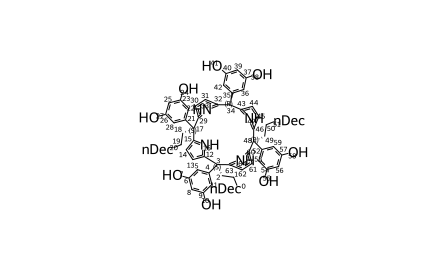 CCCCCCCCCCCC[C@]1(c2cc(O)cc(O)c2)c2ccc([nH]2)[C@@](CCCCCCCCCCCC)(c2cc(O)cc(O)c2)c2ccc([nH]2)[C@@H](c2cc(O)cc(O)c2)c2ccc([nH]2)[C@@](CCCCCCCCCCCC)(c2cc(O)cc(O)c2)c2ccc1[nH]2